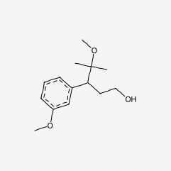 COc1cccc(C(CCO)C(C)(C)OC)c1